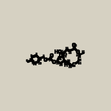 Cc1ccc(COC(=O)O[C@@H]2C[C@H]3[C@H](O)/C=C/C(=O)O[C@@H](C)CCC/C=C/[C@@H]3C2)cn1